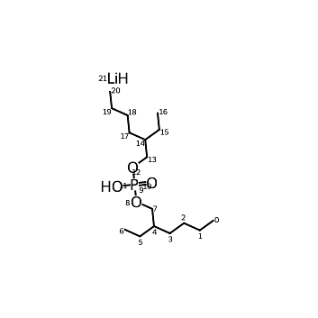 CCCCC(CC)COP(=O)(O)OCC(CC)CCCC.[LiH]